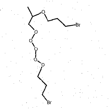 CC(COOOOOCCCBr)OCCCBr